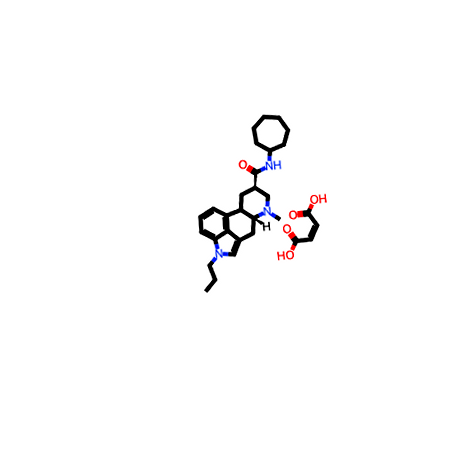 CCCn1cc2c3c(cccc31)C1C[C@@H](C(=O)NC3CCCCCC3)CN(C)[C@@H]1C2.O=C(O)/C=C\C(=O)O